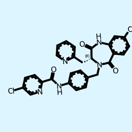 O=C(Nc1ccc(CN2C(=O)c3ccc(Cl)cc3NC(=O)[C@H]2Cc2ccccn2)cc1)c1ccc(Cl)cn1